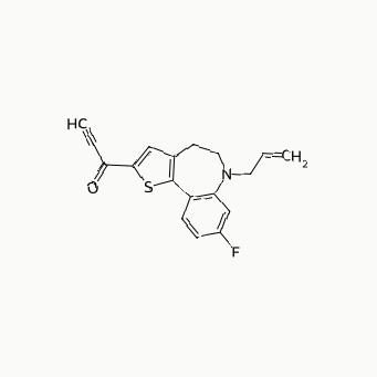 C#CC(=O)c1cc2c(s1)-c1ccc(F)cc1N(CC=C)CC2